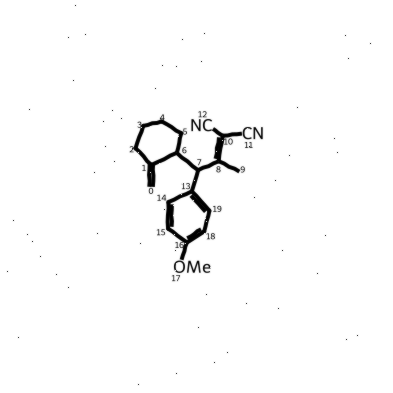 C=C1CCCCC1C(C(C)=C(C#N)C#N)c1ccc(OC)cc1